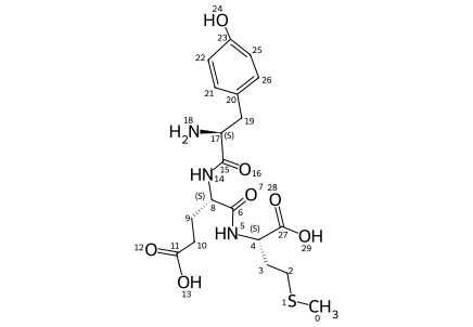 CSCC[C@H](NC(=O)[C@H](CCC(=O)O)NC(=O)[C@@H](N)Cc1ccc(O)cc1)C(=O)O